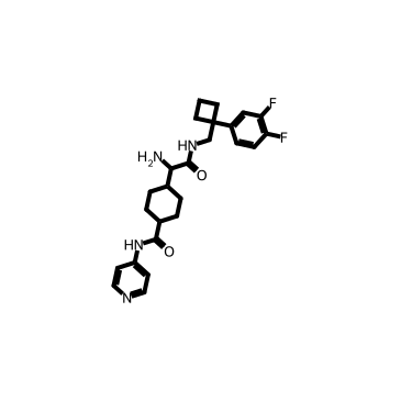 NC(C(=O)NCC1(c2ccc(F)c(F)c2)CCC1)C1CCC(C(=O)Nc2ccncc2)CC1